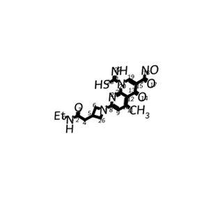 CCNC(=O)CC1CN(c2cc(C)c3c(=O)c(C(=O)N=O)cn(C(=N)S)c3n2)C1